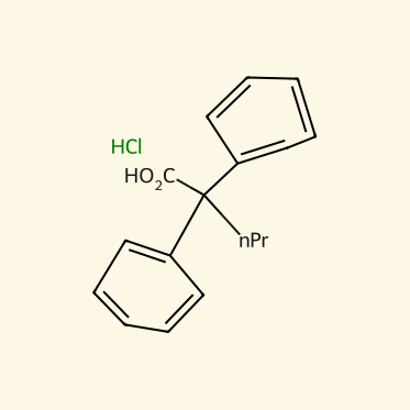 CCCC(C(=O)O)(c1ccccc1)c1ccccc1.Cl